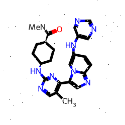 CNC(=O)[C@H]1CC[C@H](Nc2ncc(C)c(-c3cnc4ccc(Nc5cncnc5)cn34)n2)CC1